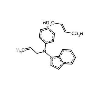 C=CCN(c1ccncc1)n1ccc2ccccc21.O=C(O)C=CC(=O)O